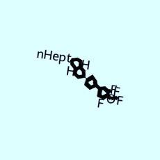 CCCCCCCC1CC[C@@H]2C[C@H](c3ccc(-c4cc(F)c(OC(F)F)c(F)c4)cc3)CC[C@@H]2C1